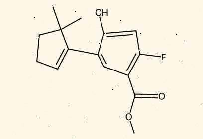 COC(=O)c1cc(C2=CCCC2(C)C)c(O)cc1F